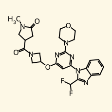 CN1CC(C(=O)N2CC(Oc3cc(-n4c(C(F)F)nc5ccccc54)nc(N4CCOCC4)n3)C2)CC1=O